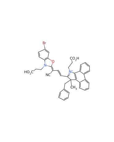 CC1(Cc2ccccc2)C(/C=C/C(C#N)=C2\Oc3cc(Br)ccc3N2CCC(=O)O)=[N+](CCC(=O)O)c2c1c1ccccc1c1ccccc21